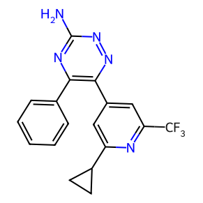 Nc1nnc(-c2cc(C3CC3)nc(C(F)(F)F)c2)c(-c2ccccc2)n1